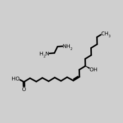 CCCCCC[C@@H](O)C/C=C\CCCCCCCC(=O)O.NCCN